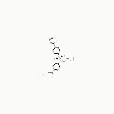 CC(=O)SCC(=O)c1ccc(N(CCO)S(=O)(=O)c2ccc(-c3ccco3)cc2)cc1